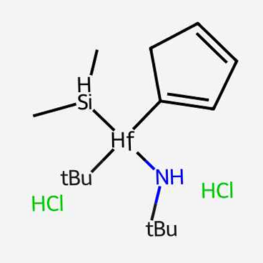 C[SiH](C)[Hf]([NH]C(C)(C)C)([C]1=CC=CC1)[C](C)(C)C.Cl.Cl